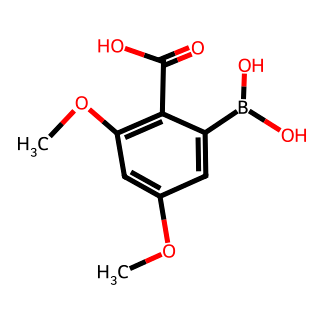 COc1cc(OC)c(C(=O)O)c(B(O)O)c1